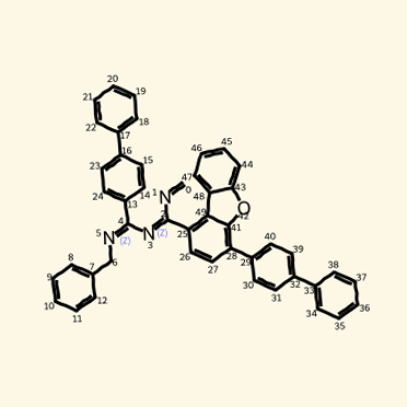 C=N/C(=N\C(=N/Cc1ccccc1)c1ccc(-c2ccccc2)cc1)c1ccc(-c2ccc(-c3ccccc3)cc2)c2oc3ccccc3c12